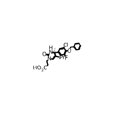 CC(C)C1=CN(CCC(=O)O)C(=O)N[C@@]1(C)c1cc(F)c(OCc2ccccc2)c(Cl)c1